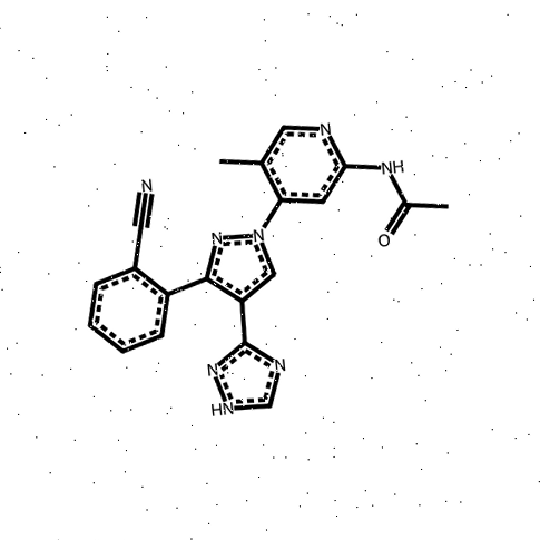 CC(=O)Nc1cc(-n2cc(-c3nc[nH]n3)c(-c3ccccc3C#N)n2)c(C)cn1